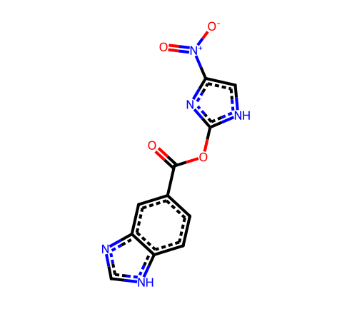 O=C(Oc1nc([N+](=O)[O-])c[nH]1)c1ccc2[nH]cnc2c1